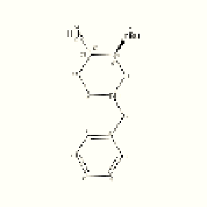 CCCC[C@H]1CN(Cc2ccccc2)CC[C@@H]1N